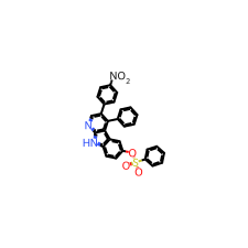 O=[N+]([O-])c1ccc(-c2cnc3[nH]c4ccc(OS(=O)(=O)c5ccccc5)cc4c3c2-c2ccccc2)cc1